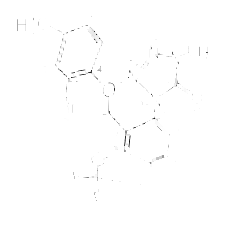 Cc1ccc(OCc2c(OC(F)(F)F)cccc2-n2nnn(C)c2=O)c(Br)c1